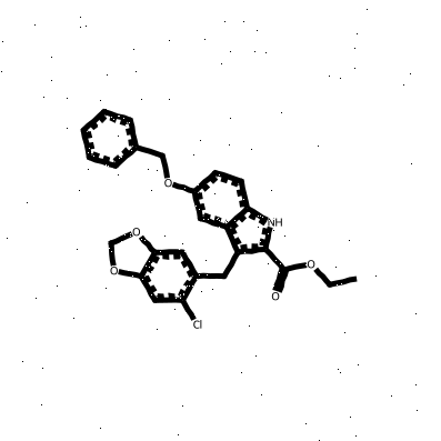 CCOC(=O)c1[nH]c2ccc(OCc3ccccc3)cc2c1Cc1cc2c(cc1Cl)OCO2